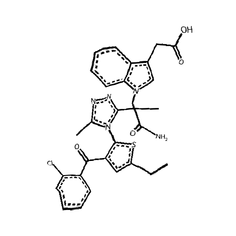 CCc1cc(C(=O)c2ccccc2Cl)c(-n2c(C)nnc2C(C)(C(N)=O)n2cc(CC(=O)O)c3ccccc32)s1